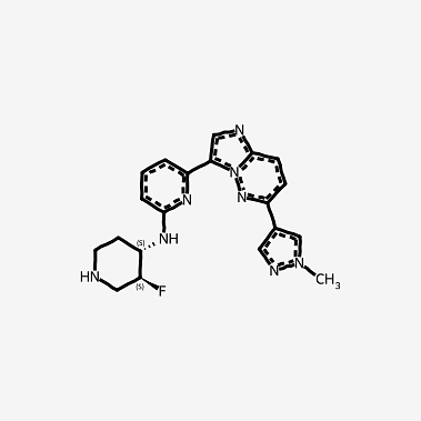 Cn1cc(-c2ccc3ncc(-c4cccc(N[C@H]5CCNC[C@@H]5F)n4)n3n2)cn1